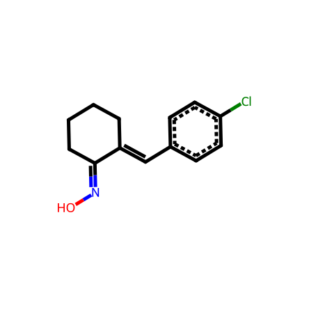 O/N=C1\CCCC\C1=C/c1ccc(Cl)cc1